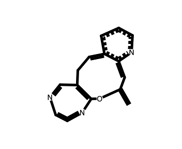 C=C1/C=c2/nccc/c2=C/CC2=C(N=C=CN=C2)O1